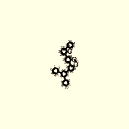 c1ccc(-c2cc(-c3ccccc3)cc(-c3ccc4c(c3)-c3ccc(-c5cccc6c5oc5ccccc56)cc3OCO4)c2)cc1